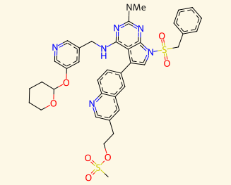 CNc1nc(NCc2cncc(OC3CCCCO3)c2)c2c(-c3ccc4ncc(CCOS(C)(=O)=O)cc4c3)cn(S(=O)(=O)Cc3ccccc3)c2n1